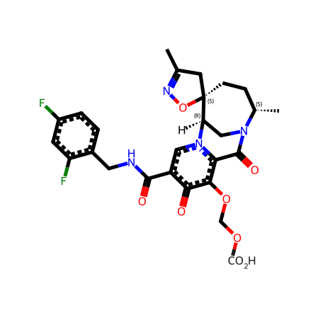 CC1=NO[C@@]2(CC[C@H](C)N3C[C@H]2n2cc(C(=O)NCc4ccc(F)cc4F)c(=O)c(OCOC(=O)O)c2C3=O)C1